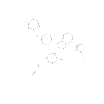 CC#CC(=O)Nc1ccc(-c2sc3c(-c4cnn(C)c4)cnc(N)c3c2-c2ccc(Oc3nccc(C)n3)c(F)c2)c(C)c1